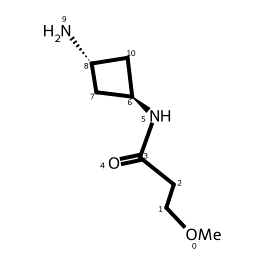 COCCC(=O)N[C@H]1C[C@H](N)C1